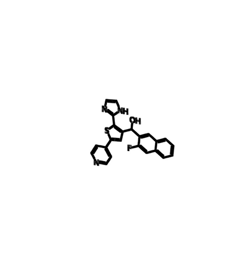 OC(c1cc2ccccc2cc1F)c1cc(-c2ccncc2)sc1-c1ncc[nH]1